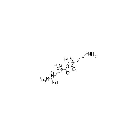 N=C(N)NCCC[C@@H](N)C(=O)OC(=O)[C@@H](N)CCCCN